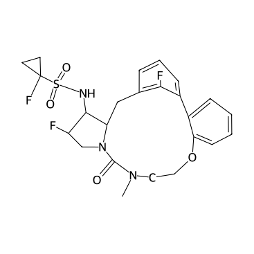 CN1CCOc2ccccc2-c2cccc(c2F)CC2C(NS(=O)(=O)C3(F)CC3)C(F)CN2C1=O